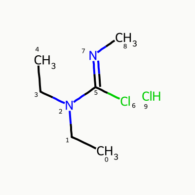 CCN(CC)C(Cl)=NC.Cl